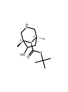 CC(C)(C)OC(=O)N1[C@@]2(C)CNC[C@@]1(C)C(O)C2